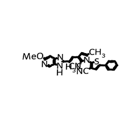 COc1cc2nc(C(C#N)=Cc3cc(C)n(-c4sc(-c5ccccc5)cc4C#N)c3C)[nH]c2cn1